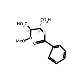 COO[C@@H](C(=O)O)[C@@H](OC(=O)c1ccccc1)C(=O)O